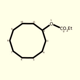 CCOC(=O)OC1CCCCCCCCC1